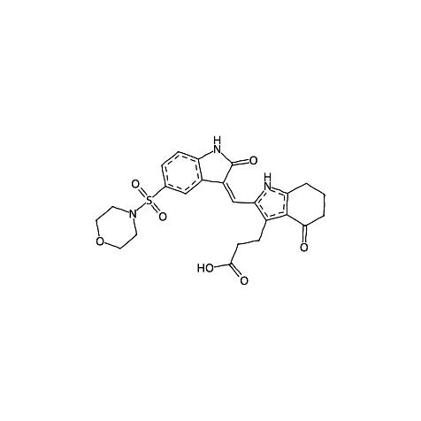 O=C(O)CCc1c(/C=C2\C(=O)Nc3ccc(S(=O)(=O)N4CCOCC4)cc32)[nH]c2c1C(=O)CCC2